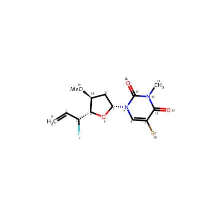 C=CC(F)[C@H]1O[C@@H](n2cc(Br)c(=O)n(C)c2=O)C[C@@H]1OC